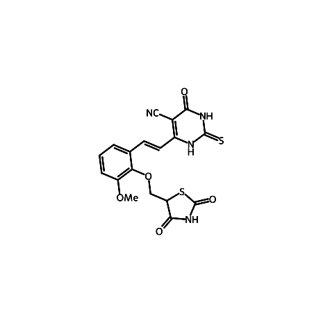 COc1cccc(C=Cc2[nH]c(=S)[nH]c(=O)c2C#N)c1OCC1SC(=O)NC1=O